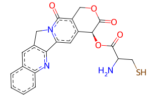 NC(CS)C(=O)O[C@@H]1C(=O)OCc2c1cc1n(c2=O)Cc2cc3ccccc3nc2-1